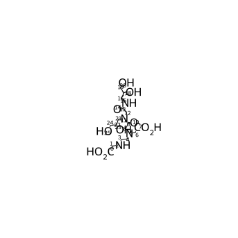 O=C(O)CNCCN(CC(=O)O)CC(=O)N(CC(=O)NCC(O)CO)CC(O)CO